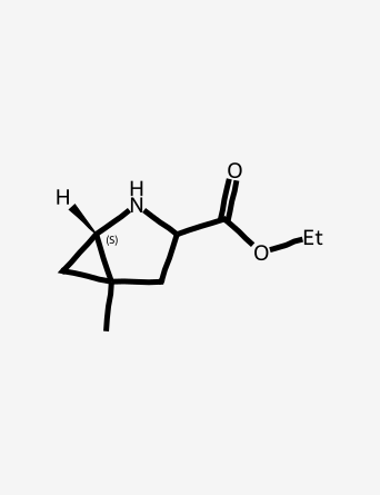 CCOC(=O)C1CC2(C)C[C@@H]2N1